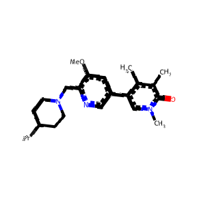 COc1cc(-c2cn(C)c(=O)c(C)c2C)cnc1CN1CCC(C(C)C)CC1